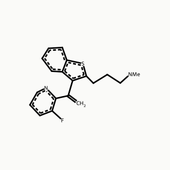 C=C(c1ncccc1F)c1c(CCCNC)sc2ccccc12